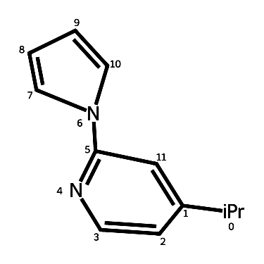 CC(C)c1ccnc(-n2cccc2)c1